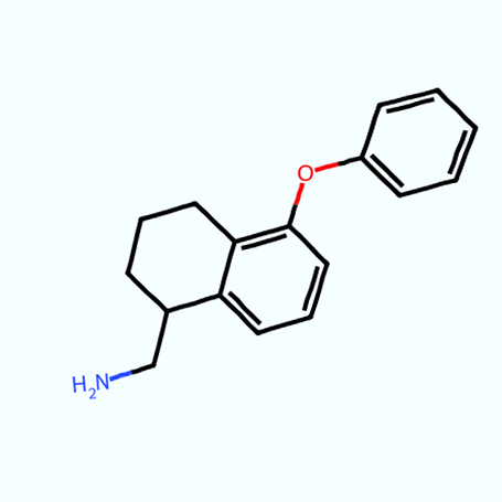 NCC1CCCc2c(Oc3ccccc3)cccc21